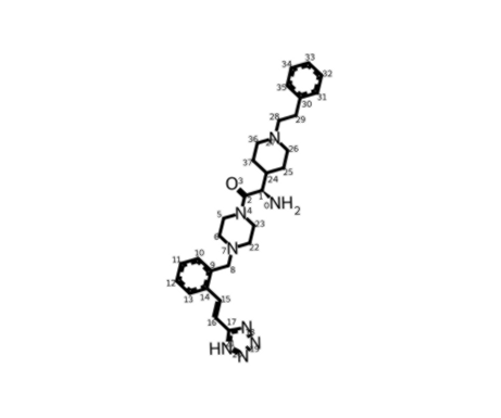 N[C@@H](C(=O)N1CCN(Cc2ccccc2/C=C/c2nnn[nH]2)CC1)C1CCN(CCc2ccccc2)CC1